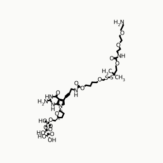 CC(C)(CCOC(=O)NCCOCCOCCN)SSCOCCCCOC(=O)NCC#Cc1cn([C@H]2CC[C@@H](COP(=O)(O)OP(=O)(O)P(=O)(O)O)O2)c2c1C(=O)NC(N)N2